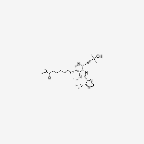 CCn1c(-c2nonc2N)nc2c(C#CC(C)(C)O)ncc(OCCCCCC(=O)OC)c21